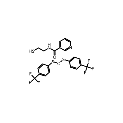 FC(F)(F)c1ccc(SOSc2ccc(C(F)(F)F)cc2)cc1.O=C(NCCS)c1cccnc1